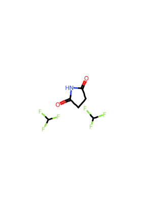 FC(F)F.FC(F)F.O=C1CCC(=O)N1